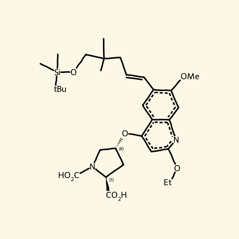 CCOc1cc(O[C@@H]2C[C@@H](C(=O)O)N(C(=O)O)C2)c2cc(C=CCC(C)(C)CO[Si](C)(C)C(C)(C)C)c(OC)cc2n1